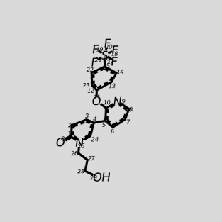 O=c1ccc(-c2cccnc2Oc2ccc(S(F)(F)(F)(F)F)cc2)cn1CCCO